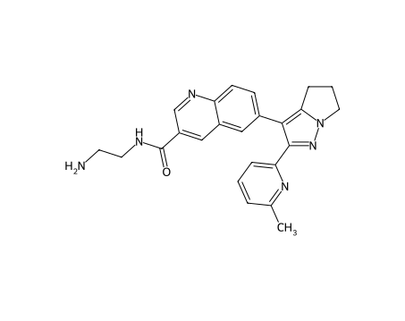 Cc1cccc(-c2nn3c(c2-c2ccc4ncc(C(=O)NCCN)cc4c2)CCC3)n1